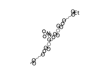 C=CC(=O)OCCCCCCOc1ccc(OC(=O)C2CCC(C(=O)Cc3ccc(OC(=O)C4CCC(C(=O)Oc5ccc(OCCCCCCOC(=O)CC)cc5)CC4)c(/C=N/N=C4c5ccccc5-c5ccccc54)c3)CC2)cc1